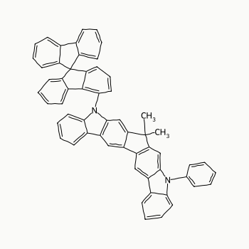 CC1(C)c2cc3c(cc2-c2cc4c5ccccc5n(-c5cccc6c5-c5ccccc5C65c6ccccc6-c6ccccc65)c4cc21)c1ccccc1n3-c1ccccc1